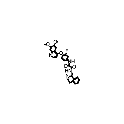 COc1cc2nccc(Oc3ccc(NC(=O)C(=O)NCC4c5ccccc5CCN4C)cc3F)c2cc1OC